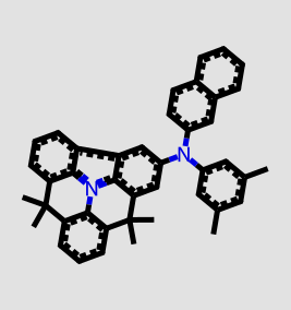 Cc1cc(C)cc(N(c2ccc3ccccc3c2)c2cc3c4c(c2)c2cccc5c2n4-c2c(cccc2C3(C)C)C5(C)C)c1